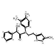 Cc1cc(CCN(C(=O)C(O)c2ccccc2)c2ccc(C)c(C)c2)on1